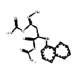 NC(=O)OC(=O)C(C/C(=N\O)OC(N)=O)Nc1cccc2ccccc12